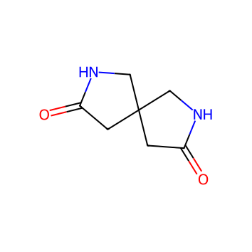 O=C1CC2(CN1)CNC(=O)C2